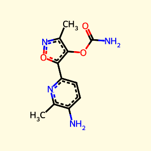 Cc1nc(-c2onc(C)c2OC(N)=O)ccc1N